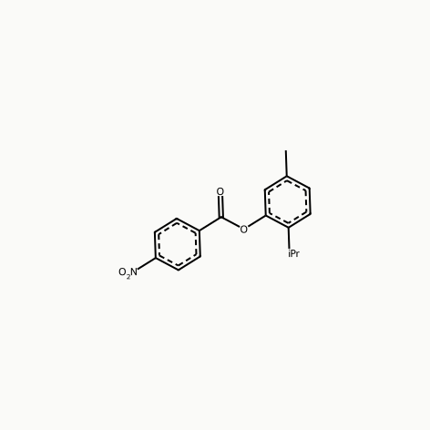 Cc1ccc(C(C)C)c(OC(=O)c2ccc([N+](=O)[O-])cc2)c1